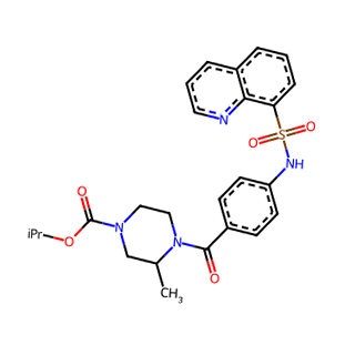 CC(C)OC(=O)N1CCN(C(=O)c2ccc(NS(=O)(=O)c3cccc4cccnc34)cc2)C(C)C1